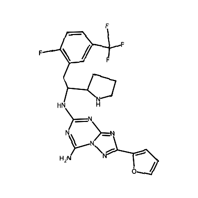 Nc1nc(NC(Cc2cc(C(F)(F)F)ccc2F)C2CCCN2)nc2nc(-c3ccco3)nn12